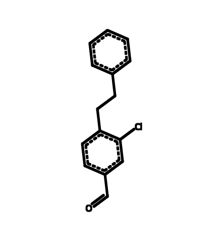 O=Cc1ccc(CCc2ccccc2)c(Cl)c1